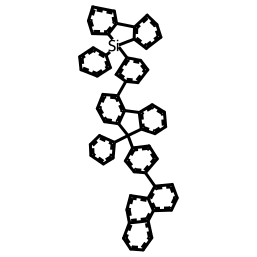 c1ccc(C2(c3ccc(-c4cccc5c4ccc4ccccc45)cc3)c3ccccc3-c3c(-c4cccc([Si]5(c6ccccc6)c6ccccc6-c6ccccc65)c4)cccc32)cc1